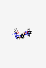 CC(=O)Nc1ncc(Sc2ccc(C(=O)N[C@@H]3C[C@H]4CC[C@@H]3N4)cc2)[nH]1